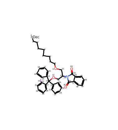 CCCCCCCCCCCCCCCCCCOCC(COC(c1ccccc1)(c1ccccc1)c1ccccc1I)N1C(=O)c2ccccc2C1=O